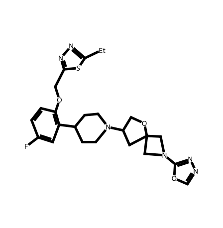 CCc1nnc(COc2ccc(F)cc2C2CCN(C3COC4(C3)CN(c3nnco3)C4)CC2)s1